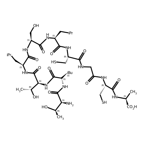 CC[C@H](C)[C@H](NC(=O)[C@@H](N)[C@@H](C)O)C(=O)N[C@H](C(=O)N[C@@H](CC(C)C)C(=O)N[C@@H](CO)C(=O)N[C@@H](CC(C)C)C(=O)N[C@@H](CS)C(=O)NCC(=O)N[C@@H](CS)C(=O)N[C@@H](C)C(=O)O)[C@@H](C)O